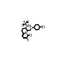 CCC1CCC(OCC2C(NS(C)(=O)=O)CCc3ccc(F)c(=O)n32)CC1